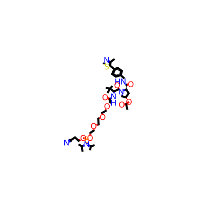 CC(=O)O[C@@H]1C[C@@H](C(=O)NCc2ccc(-c3scnc3C)cc2)N(C(=O)C(NC(=O)COCCOCCOCCOP(OCCC#N)N(C(C)C)C(C)C)C(C)(C)C)C1